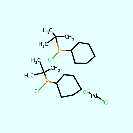 CC(C)(C)P(Cl)C1CCCCC1.CC(C)(C)P(Cl)C1CCCCC1.[Cl][Pd][Cl]